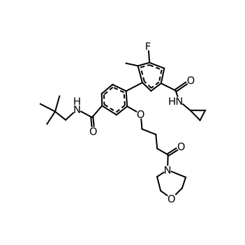 Cc1c(F)cc(C(=O)NC2CC2)cc1-c1ccc(C(=O)NCC(C)(C)C)cc1OCCCC(=O)N1CCOCC1